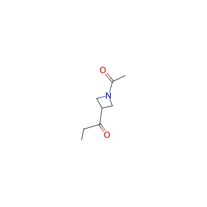 CCC(=O)C1CN(C(C)=O)C1